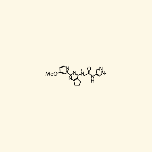 COc1ccnc(-c2nc3c(c(N(C)CC(=O)Nc4cnn(C)c4)n2)CCC3)c1